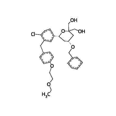 CCOCCOc1ccc(Cc2cc([C@H]3C[C@@H](OCc4ccccc4)CC(CO)(CO)O3)ccc2Cl)cc1